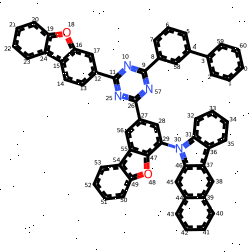 c1ccc(-c2cccc(-c3nc(-c4ccc5c(c4)oc4ccccc45)nc(-c4cc(-n5c6ccccc6c6cc7ccccc7cc65)c5oc6ccccc6c5c4)n3)c2)cc1